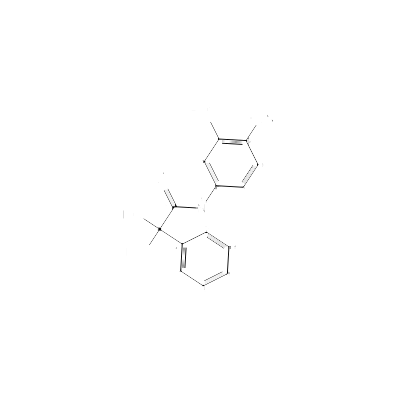 CC(O)(C(=O)Nc1ccc(C#N)c(C(F)(F)F)c1)c1ccccc1